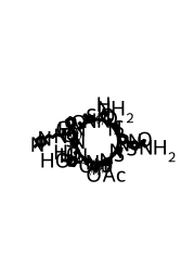 CC(=O)O[C@H]1CN2C(=O)[C@H](Cc3ccc(O)cc3)NC(=O)c3csc(n3)[C@H]([C@H](OC(=O)NCCCN3CCN(C)CC3)c3ccccc3)NC(=O)c3nc(sc3C)[C@H](CC(N)=O)NC(=O)c3csc(n3)-c3ccc(-c4nc(C(N)=O)cs4)nc3-c3csc(n3)-c3csc(n3)[C@@H]2[C@H]1C